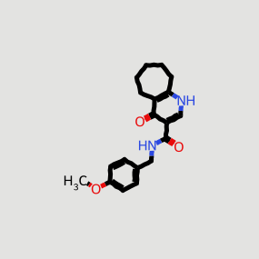 COc1ccc(CNC(=O)c2c[nH]c3c(c2=O)CCCCC3)cc1